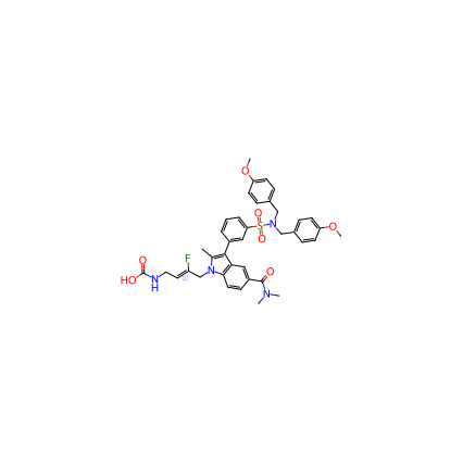 COc1ccc(CN(Cc2ccc(OC)cc2)S(=O)(=O)c2cccc(-c3c(C)n(C/C(F)=C/CNC(=O)O)c4ccc(C(=O)N(C)C)cc34)c2)cc1